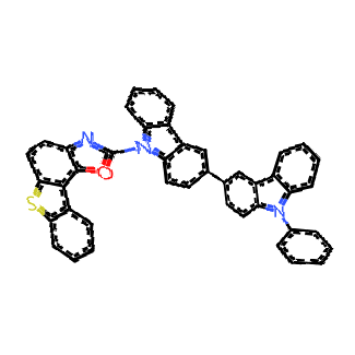 c1ccc(-n2c3ccccc3c3cc(-c4ccc5c(c4)c4ccccc4n5-c4nc5ccc6sc7ccccc7c6c5o4)ccc32)cc1